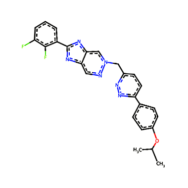 CC(C)Oc1ccc(-c2ccc(Cn3cc4nc(-c5cccc(F)c5F)nc-4cn3)nn2)cc1